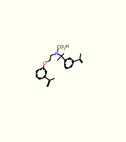 C=C(C)c1cccc(OCCN(C(=O)O)C(C)(C)c2cccc(C(=C)C)c2)c1